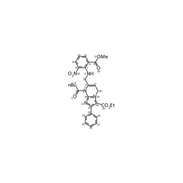 CCCCC(=O)N1C(CNc2c(C(=O)OC)cccc2[N+](=O)[O-])=CCn2c1nc(-c1ccccc1)c2C(=O)OCC